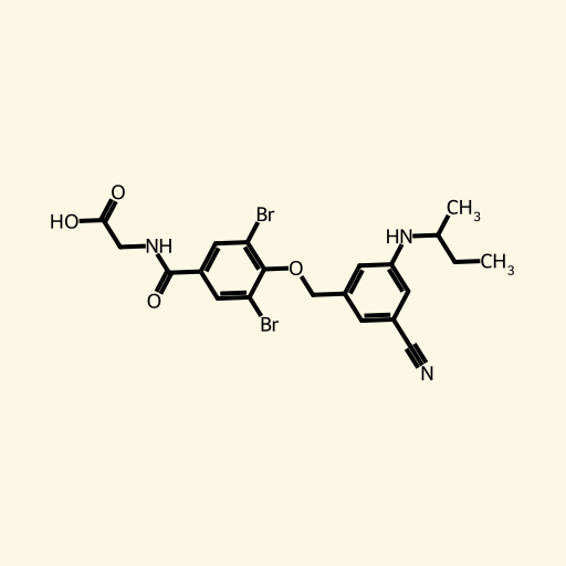 CCC(C)Nc1cc(C#N)cc(COc2c(Br)cc(C(=O)NCC(=O)O)cc2Br)c1